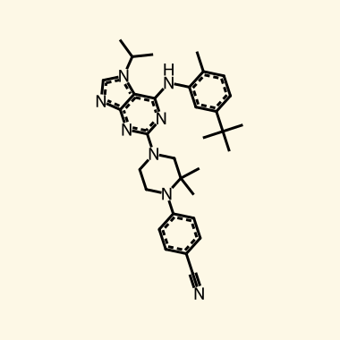 Cc1ccc(C(C)(C)C)cc1Nc1nc(N2CCN(c3ccc(C#N)cc3)C(C)(C)C2)nc2ncn(C(C)C)c12